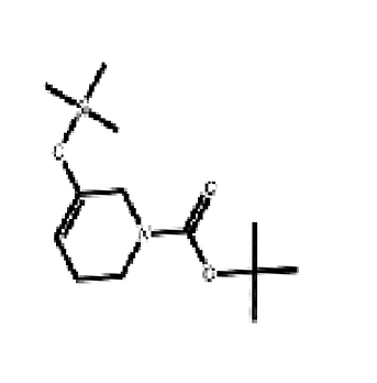 CC(C)(C)OC(=O)N1CCC=C(O[Si](C)(C)C)C1